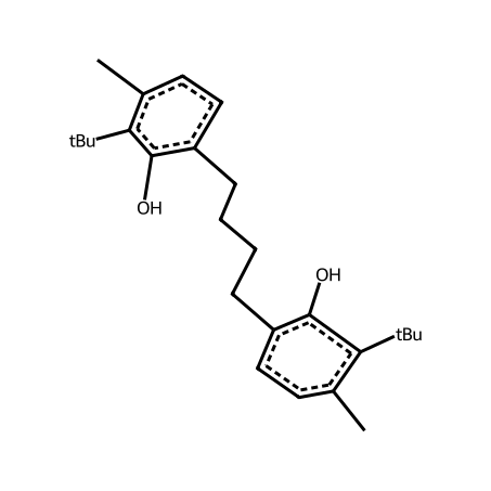 Cc1ccc(CCCCc2ccc(C)c(C(C)(C)C)c2O)c(O)c1C(C)(C)C